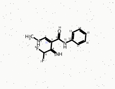 CN/C=C(\C(=N)C(F)F)C(=O)Nc1ccccc1